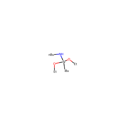 CCCCN[Si](OCC)(OCC)C(C)CC